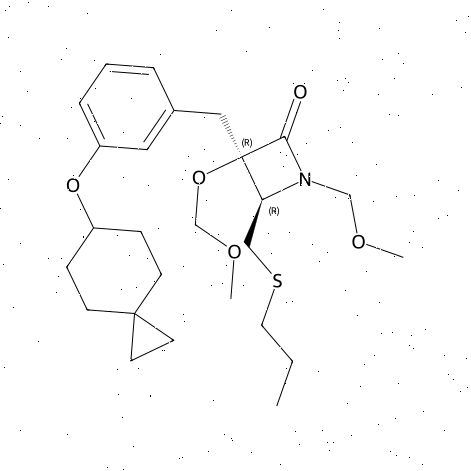 CCCSC[C@@H]1N(COC)C(=O)[C@]1(Cc1cccc(OC2CCC3(CC2)CC3)c1)OCOC